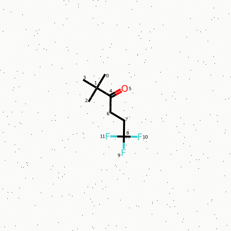 CC(C)(C)C(=O)CCC(F)(F)F